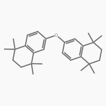 CC1(C)CCC(C)(C)c2cc(Oc3ccc4c(c3)C(C)(C)CCC4(C)C)ccc21